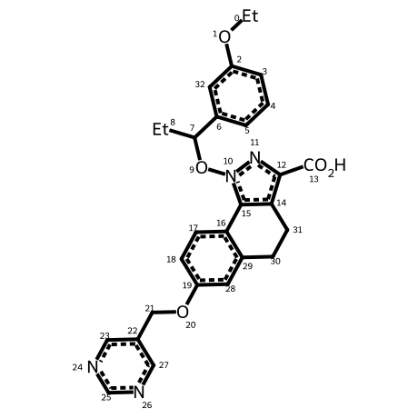 CCOc1cccc(C(CC)On2nc(C(=O)O)c3c2-c2ccc(OCc4cncnc4)cc2CC3)c1